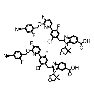 CC1(C)COCC1n1c(Cc2cc(F)c(-c3ccc(F)c(OCc4ccc(C#N)cc4F)n3)cc2Cl)nc2ccc(C(=O)O)cc21.CC1(C)COCC1n1c(Cc2cc(F)c(-c3ccc(F)c(OCc4ccc(C#N)cc4F)n3)cc2Cl)nc2ccc(C(=O)O)cc21